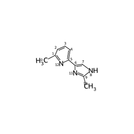 Cc1cccc(-c2c[nH]c(C)n2)n1